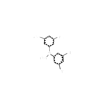 CC(C)(C)c1cc(N(c2cc(C(C)(C)C)cc(C(C)(C)C)c2)C(C)(C)C)cc(C(C)(C)C)c1